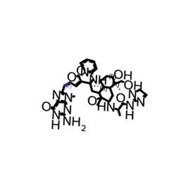 CC(NC1CC2[C@](C)(CC[C@@H](O)[C@@]2(C)CO)C(CC(Nc2ccccn2)C2=C/C(=C\c3nc4c(=O)[nH]c(N)nc4n3C)OC2=O)C12CO2)C(=O)NC1=NCC=N1